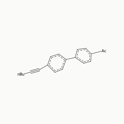 CCCCC#Cc1ccc(-c2ccc(C(C)=O)cc2)cc1